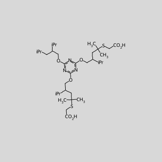 CC(C)CC(COc1nc(OCC(CC(C)(C)SCC(=O)O)C(C)C)nc(OCC(CC(C)(C)SCC(=O)O)C(C)C)n1)C(C)C